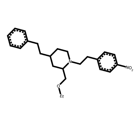 CCOCC1CC(CCc2ccccc2)CCN1CCc1ccc([N+](=O)[O-])cc1